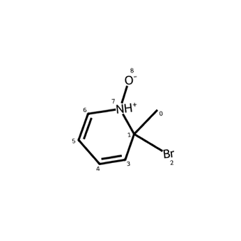 CC1(Br)C=CC=C[NH+]1[O-]